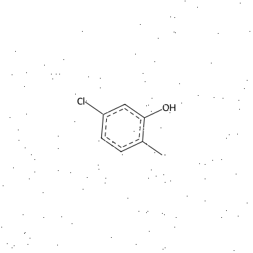 [CH2]c1ccc(Cl)cc1O